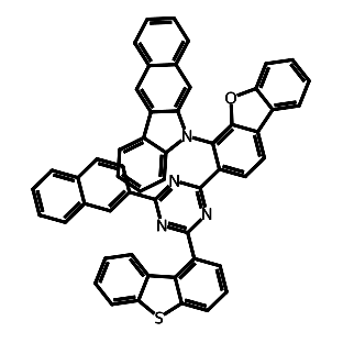 c1ccc2cc(-c3nc(-c4ccc5c(oc6ccccc65)c4-n4c5ccccc5c5cc6ccccc6cc54)nc(-c4cccc5sc6ccccc6c45)n3)ccc2c1